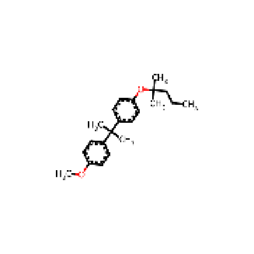 CCCC(C)(C)Oc1ccc(C(C)(C)c2ccc(OC)cc2)cc1